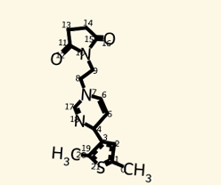 Cc1cc(C2C=CN(CCN3C(=O)CCC3=O)C=N2)c(C)s1